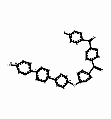 Cc1ccc(C(=O)c2ccc(C(=O)c3ccc(Oc4ccc(-c5ccc(-c6ccc(O)cc6)cc5)cc4)cc3)cc2)cc1